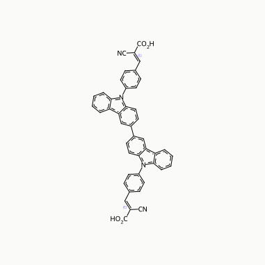 N#C/C(=C\c1ccc(-n2c3ccccc3c3cc(-c4ccc5c(c4)c4ccccc4n5-c4ccc(/C=C(\C#N)C(=O)O)cc4)ccc32)cc1)C(=O)O